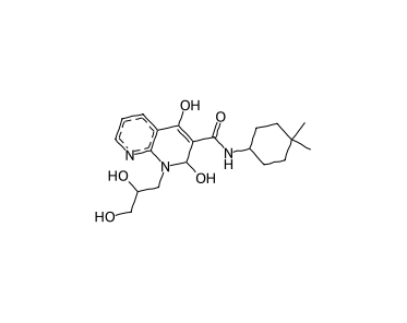 CC1(C)CCC(NC(=O)C2=C(O)c3cccnc3N(CC(O)CO)C2O)CC1